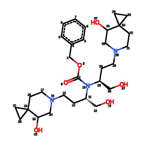 O=C(OCc1ccccc1)N([C@H](CO)CCN1CCC2(CC2)C(O)C1)[C@H](CO)CCN1CCC2(CC2)C(O)C1